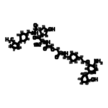 Cc1ncsc1-c1ccc(CNC(=O)[C@@H]2C[C@@H](O)CN2C(=O)[C@@H](NC(=O)COCC(=O)NCc2ccc(CCOc3cc(-c4ccccc4O)nnc3N)cc2)C(C)(C)C)cc1